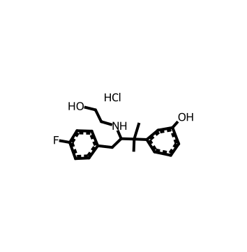 CC(C)(c1cccc(O)c1)C(Cc1ccc(F)cc1)NCCO.Cl